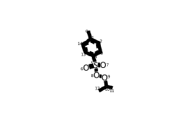 Cc1ccc(S(=O)(=O)OOC(C)C)cc1